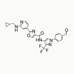 O=Cc1ccc(-n2cc(NC(=O)c3coc(-c4ccnc(NCC5CC5)c4)n3)c(C(F)(F)F)n2)cc1